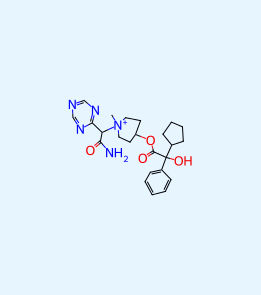 C[N+]1(C(C(N)=O)c2ncncn2)CCC(OC(=O)C(O)(c2ccccc2)C2CCCC2)CC1